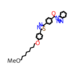 COCCCCCCCCOc1ccc(-c2nnc(-c3ccc(C(=O)n4nnc5ccccc54)cc3)s2)cc1